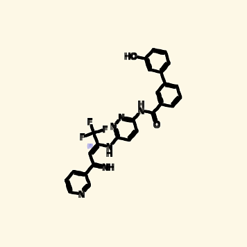 N=C(/C=C(\Nc1ccc(NC(=O)c2cccc(-c3cccc(O)c3)c2)nn1)C(F)(F)F)c1cccnc1